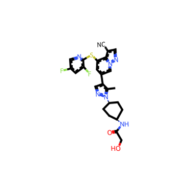 Cc1c(-c2cc(Sc3ncc(F)cc3F)c3c(C#N)cnn3c2)cnn1[C@H]1CC[C@@H](NC(=O)CO)CC1